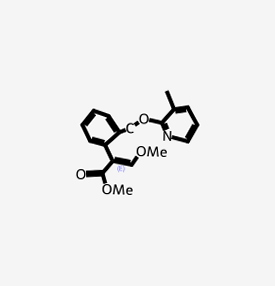 CO/C=C(/C(=O)OC)c1ccccc1COc1ncccc1C